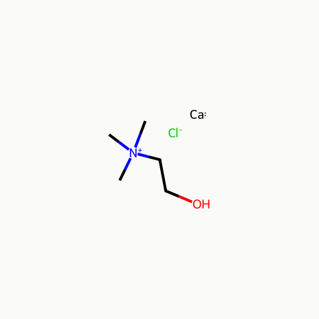 C[N+](C)(C)CCO.[Ca].[Cl-]